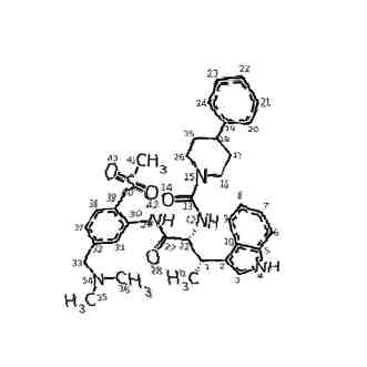 C[C@@H](c1c[nH]c2ccccc12)[C@@H](NC(=O)N1CCC(c2ccccc2)CC1)C(=O)Nc1cc(CN(C)C)ccc1S(C)(=O)=O